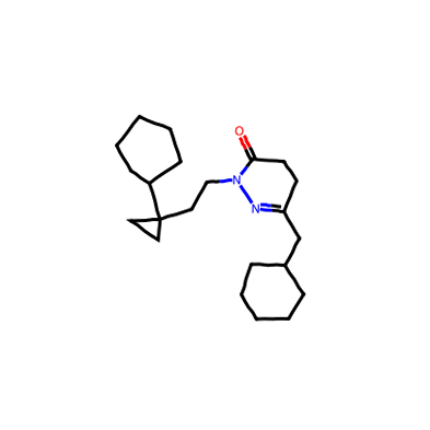 O=C1CCC(CC2CCCCC2)=NN1CCC1(C2CCCCC2)CC1